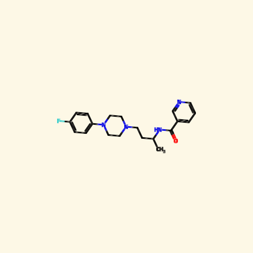 CC(CCN1CCN(c2ccc(F)cc2)CC1)NC(=O)c1cccnc1